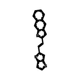 C(=C\c1cc2sccc2s1)/c1cc2cc3ccccc3cc2s1